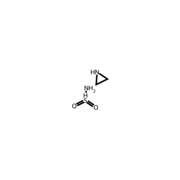 C1CN1.N[SH](=O)=O